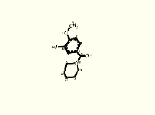 COc1ccc(C(=O)N2CCCCC2)cc1F